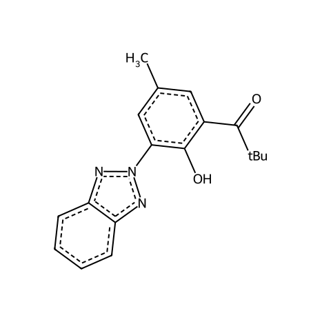 Cc1cc(C(=O)C(C)(C)C)c(O)c(-n2nc3ccccc3n2)c1